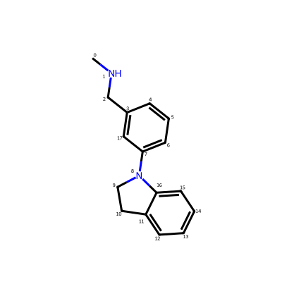 CNCc1cccc(N2CCc3ccccc32)c1